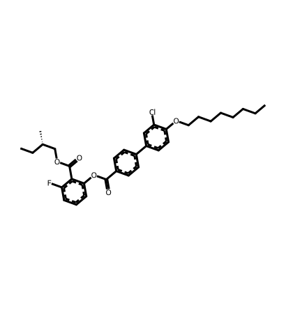 CCCCCCCCOc1ccc(-c2ccc(C(=O)Oc3cccc(F)c3C(=O)OC[C@@H](C)CC)cc2)cc1Cl